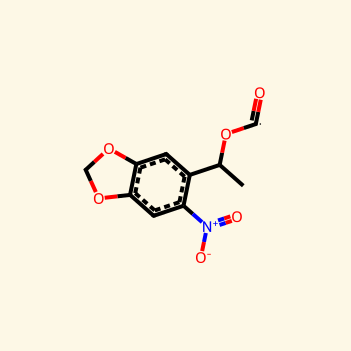 CC(O[C]=O)c1cc2c(cc1[N+](=O)[O-])OCO2